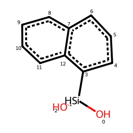 O[SiH](O)c1cccc2ccccc12